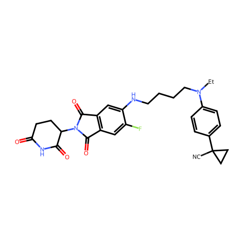 CCN(CCCCNc1cc2c(cc1F)C(=O)N(C1CCC(=O)NC1=O)C2=O)c1ccc(C2(C#N)CC2)cc1